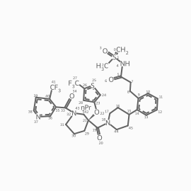 C=S(C)(=O)NC(=O)CCc1ccccc1C1CCN(C(=O)[C@]2(Oc3csc(C(F)(F)F)c3)CCCN(C(=O)c3cnccc3C(F)(F)F)[C@@H]2CCC)CC1